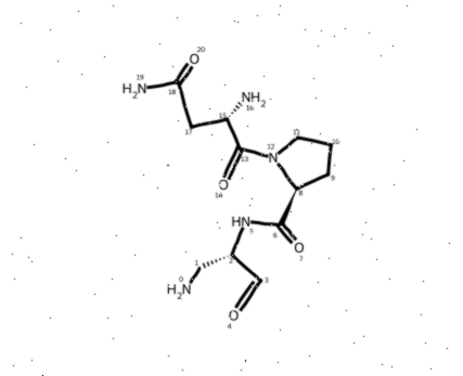 NC[C@@H](C=O)NC(=O)[C@@H]1CCCN1C(=O)[C@@H](N)CC(N)=O